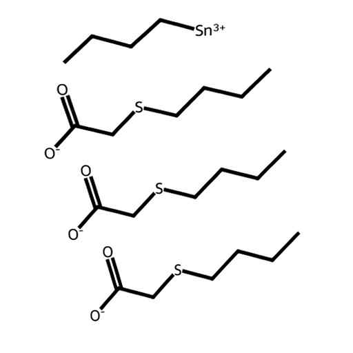 CCCCSCC(=O)[O-].CCCCSCC(=O)[O-].CCCCSCC(=O)[O-].CCC[CH2][Sn+3]